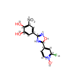 O=[N+]([O-])c1cc(-c2noc(-c3cc[n+]([O-])c(F)c3)n2)cc(O)c1O